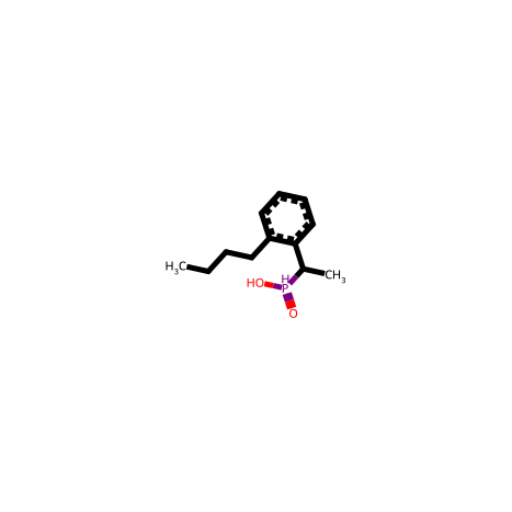 CCCCc1ccccc1C(C)[PH](=O)O